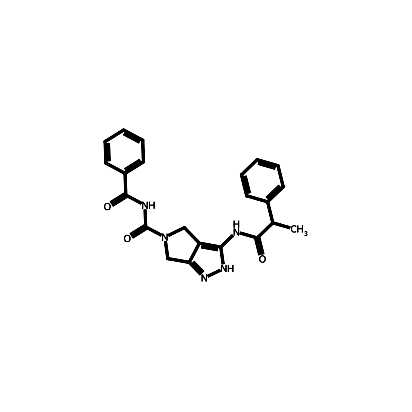 CC(C(=O)Nc1[nH]nc2c1CN(C(=O)NC(=O)c1ccccc1)C2)c1ccccc1